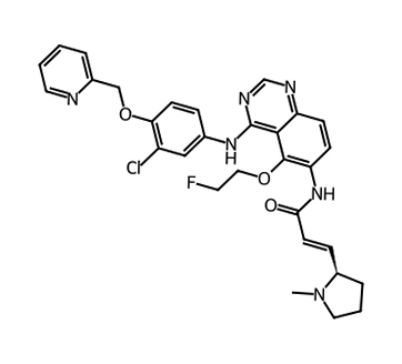 CN1CCC[C@@H]1/C=C/C(=O)Nc1ccc2ncnc(Nc3ccc(OCc4ccccn4)c(Cl)c3)c2c1OCCF